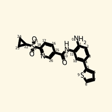 Nc1ccc(-c2cccs2)cc1NC(=O)c1ccc(S(=O)(=O)C2CC2)nc1